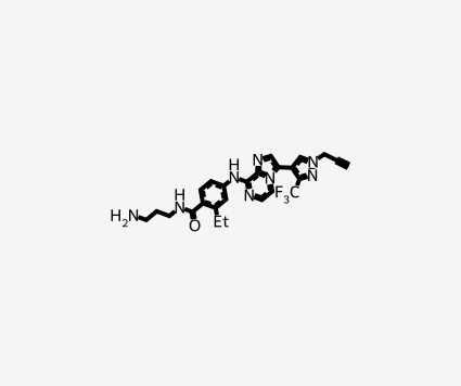 C#CCn1cc(-c2cnc3c(Nc4ccc(C(=O)NCCCN)c(CC)c4)nccn23)c(C(F)(F)F)n1